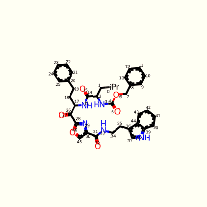 CC(C)CC(NC(=O)OCc1ccccc1)C(=O)NC(CCc1ccccc1)C(=O)c1nc(C(=O)NCCc2c[nH]c3ccccc23)co1